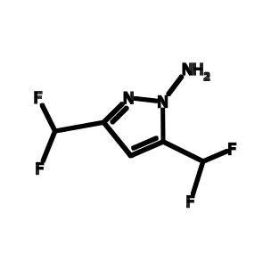 Nn1nc(C(F)F)cc1C(F)F